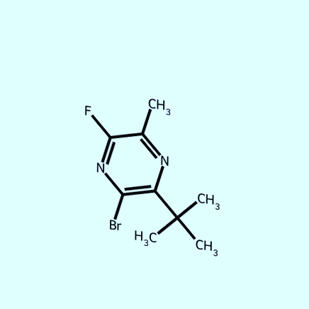 Cc1nc(C(C)(C)C)c(Br)nc1F